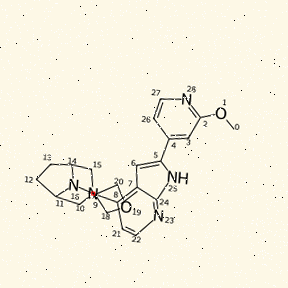 COc1cc(-c2cc3c(N4CC5CCC(C4)N5C4COC4)ccnc3[nH]2)ccn1